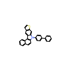 c1ccc(-c2ccc(-n3c4cc5sccc5cc4c4c5ccccc5ccc43)cc2)cc1